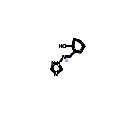 Oc1ccccc1/C=N/n1cncn1